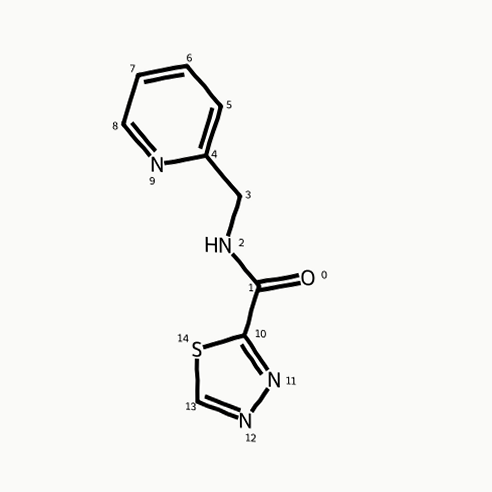 O=C(NCc1ccccn1)c1nncs1